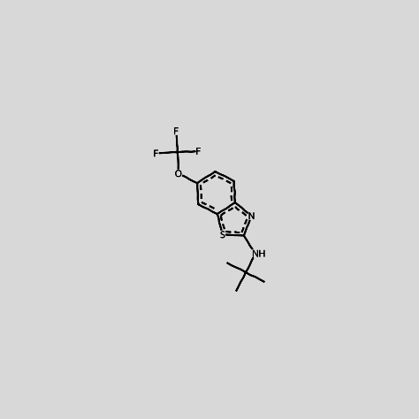 CC(C)(C)Nc1nc2ccc(OC(F)(F)F)cc2s1